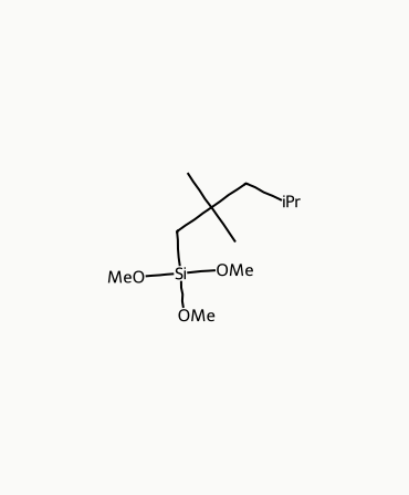 CO[Si](CC(C)(C)CC(C)C)(OC)OC